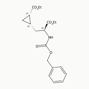 CCOC(=O)[C@H](C[C@@H]1C[C@@H]1C(=O)OCC)NC(=O)OCc1ccccc1